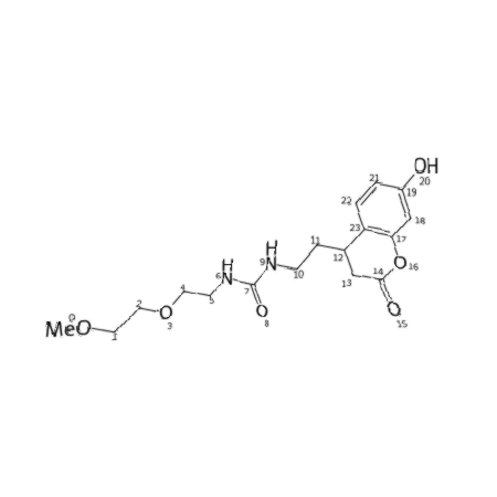 COCCOCCNC(=O)NCCC1CC(=O)Oc2cc(O)ccc21